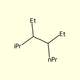 CCCC(CC)C(CC)C(C)C